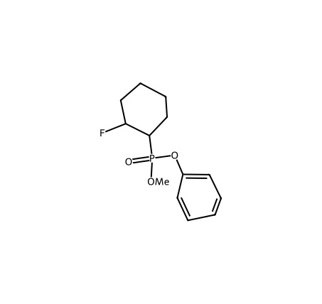 COP(=O)(Oc1ccccc1)C1CCCCC1F